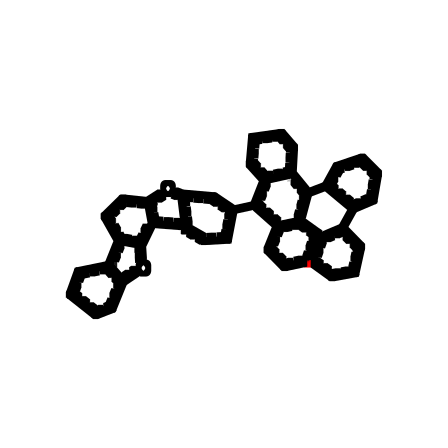 c1ccc(-c2ccccc2-c2c3ccccc3c(-c3ccc4c(c3)oc3ccc5c6ccccc6oc5c34)c3ccccc23)cc1